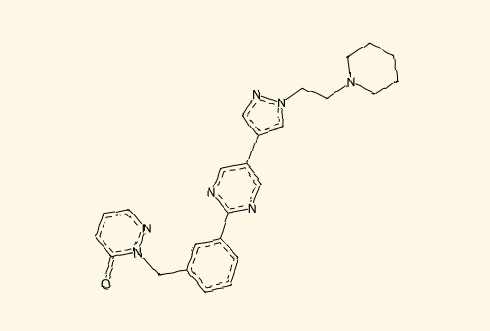 O=c1cccnn1Cc1cccc(-c2ncc(-c3cnn(CCN4CCCCC4)c3)cn2)c1